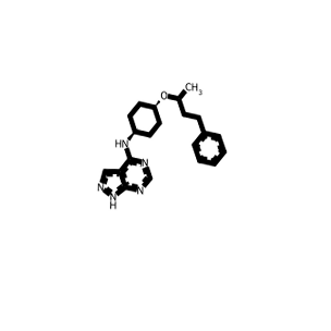 CC(CCc1ccccc1)O[C@H]1CC[C@H](Nc2ncnc3[nH]ncc23)CC1